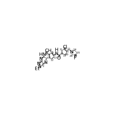 CCn1cc2ncc(N[C@@H](C)c3cccc(NC(=O)c4ccc(CN5CC[C@@H](F)C5)c(Cl)c4)c3)nc2n1